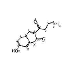 NCCC(=O)C1=CC2CC=C(O)C=C2OC1=O